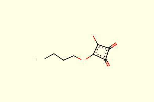 CCCCCCCCCCOc1c(O)c(=O)c1=O